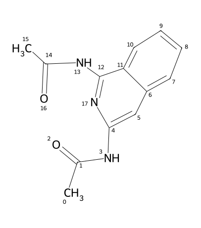 CC(=O)Nc1cc2ccccc2c(NC(C)=O)n1